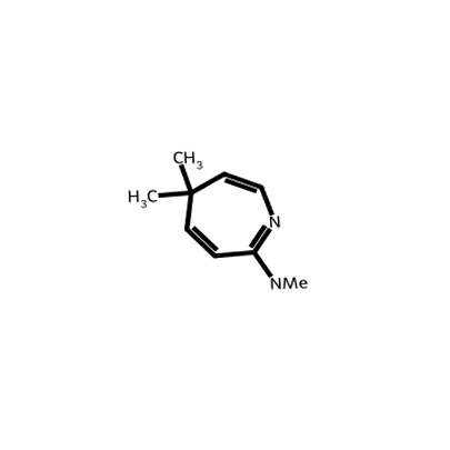 CNC1=NC=CC(C)(C)C=C1